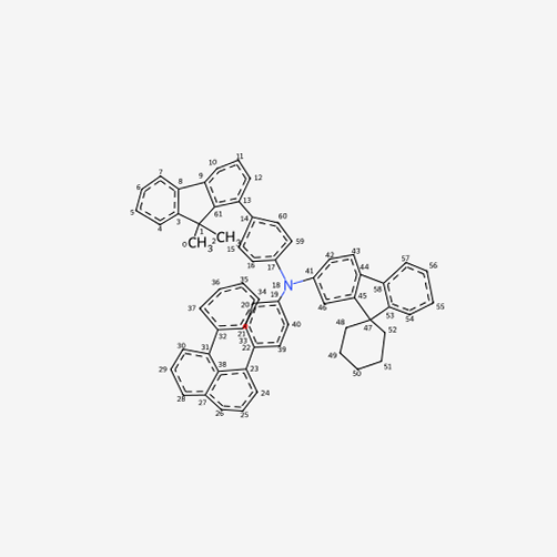 CC1(C)c2ccccc2-c2cccc(-c3ccc(N(c4ccc(-c5cccc6cccc(-c7ccccc7)c56)cc4)c4ccc5c(c4)C4(CCCCC4)c4ccccc4-5)cc3)c21